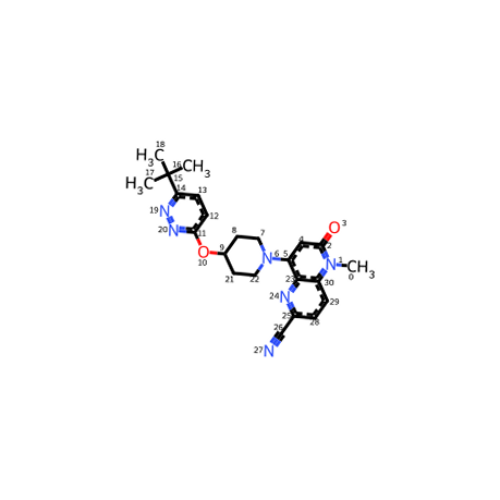 Cn1c(=O)cc(N2CCC(Oc3ccc(C(C)(C)C)nn3)CC2)c2nc(C#N)ccc21